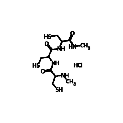 CNC(=O)C(CS)NC(=O)C(CS)NC(=O)C(CS)NC.Cl